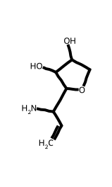 C=CC(N)C1OCC(O)C1O